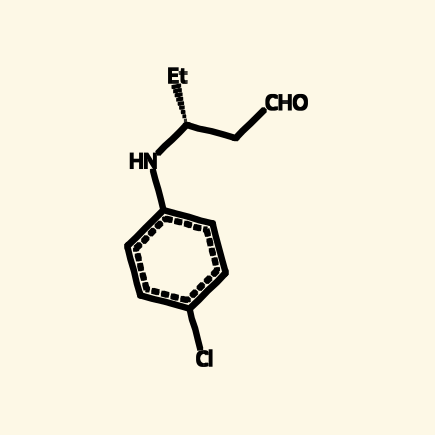 CC[C@H](CC=O)Nc1ccc(Cl)cc1